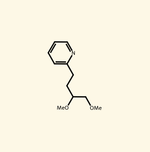 COCC(CCc1ccccn1)OC